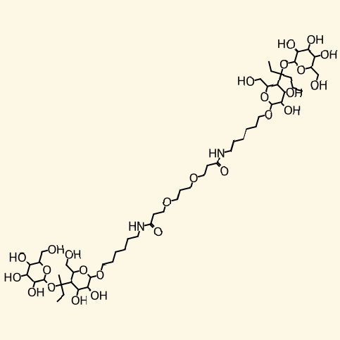 CCCC(CC)(OC1OC(CO)C(O)C(O)C1O)C1C(CO)OC(OCCCCCCNC(=O)CCOCCCOCCC(=O)NCCCCCCOC2OC(CO)C(C(C)(CC)OC3OC(CO)C(O)C(O)C3O)C(O)C2O)C(O)C1O